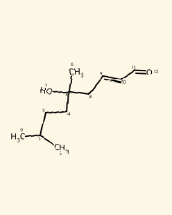 CC(C)CCC(C)(O)C/C=C/C=O